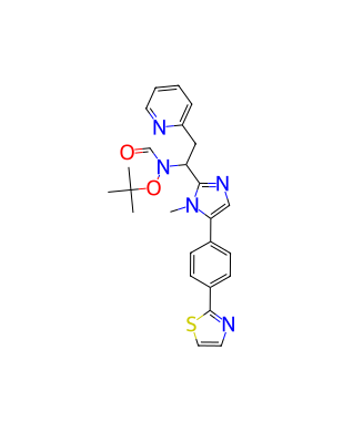 Cn1c(-c2ccc(-c3nccs3)cc2)cnc1C(Cc1ccccn1)N(C=O)OC(C)(C)C